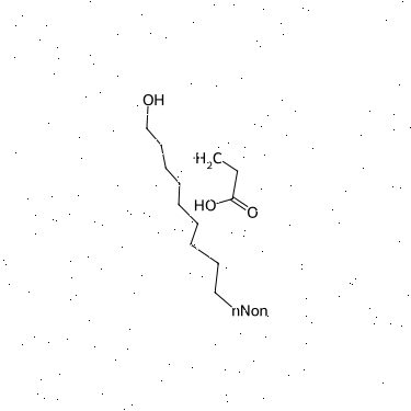 CCCCCCCCCCCCCCCCCCO.[CH2]CC(=O)O